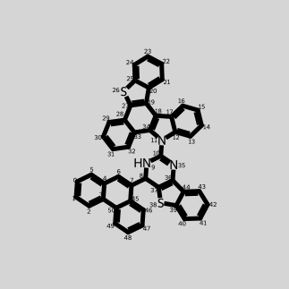 c1ccc2c(c1)cc(C1NC(n3c4ccccc4c4c5c6ccccc6sc5c5ccccc5c43)=Nc3c1sc1ccccc31)c1ccccc12